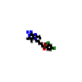 CCc1nc2c(N)nc(C)c(C)c2n1CCCCCS(=O)(=O)c1ccc(Cl)cc1Cl